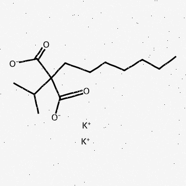 CCCCCCCC(C(=O)[O-])(C(=O)[O-])C(C)C.[K+].[K+]